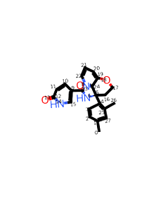 Cc1ccc([C@@]2(NC(=O)c3ccc(=O)[nH]c3)CCOc3cccnc32)c(C)c1